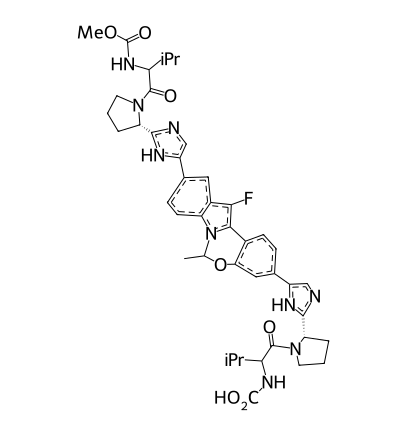 COC(=O)NC(C(=O)N1CCC[C@H]1c1ncc(-c2ccc3c(c2)c(F)c2n3C(C)Oc3cc(-c4cnc([C@@H]5CCCN5C(=O)C(NC(=O)O)C(C)C)[nH]4)ccc3-2)[nH]1)C(C)C